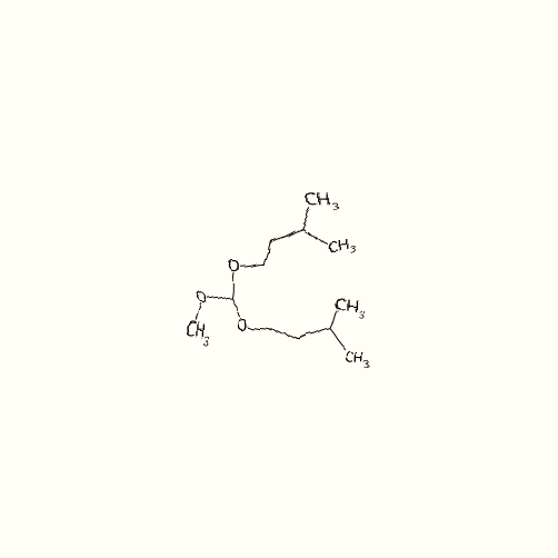 COC(OCCC(C)C)OCCC(C)C